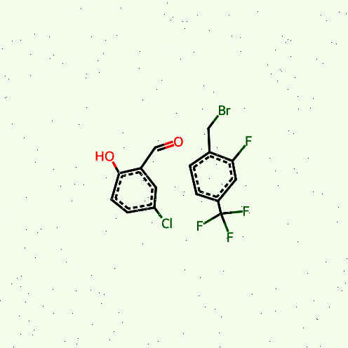 Fc1cc(C(F)(F)F)ccc1CBr.O=Cc1cc(Cl)ccc1O